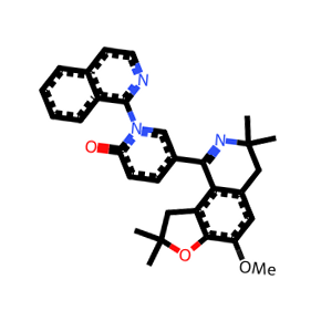 COc1cc2c(c3c1OC(C)(C)C3)C(c1ccc(=O)n(-c3nccc4ccccc34)c1)=NC(C)(C)C2